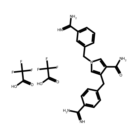 N=C(N)c1ccc(Cc2cn(Cc3cccc(C(=N)N)c3)cc2C(N)=O)cc1.O=C(O)C(F)(F)F.O=C(O)C(F)(F)F